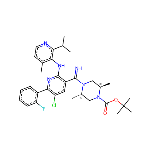 Cc1ccnc(C(C)C)c1Nc1nc(-c2ccccc2F)c(Cl)cc1C(=N)N1C[C@@H](C)N(C(=O)OC(C)(C)C)C[C@@H]1C